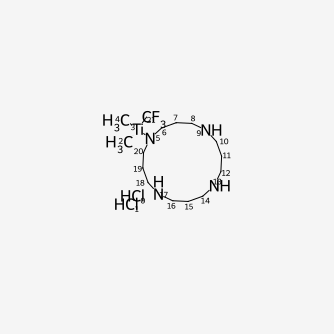 Cl.Cl.[CH3][Ti]([CH3])([N]1CCCNCCCNCCCNCCC1)[C](F)(F)F